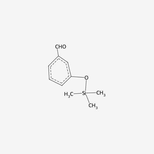 C[Si](C)(C)Oc1cccc(C=O)c1